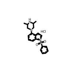 CC1CN(c2cccc3c2ccn3S(=O)(=O)c2ccccc2)CC(C)N1.Cl